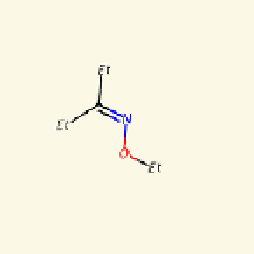 CCON=C(CC)CC